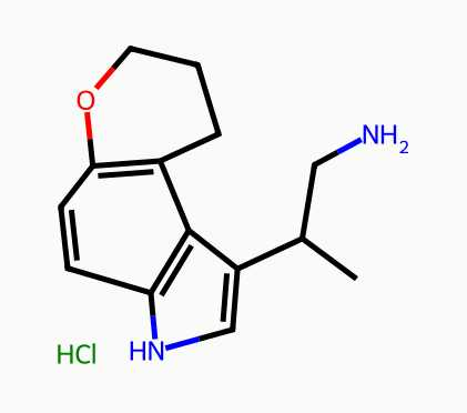 CC(CN)c1c[nH]c2ccc3c(c12)CCCO3.Cl